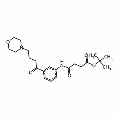 CC(C)(C)OC(=O)CCC(=O)Nc1cccc(C(=O)CCCN2CCOCC2)c1